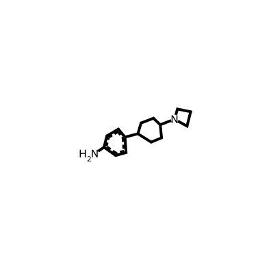 Nc1ccc(C2CCC(N3CCC3)CC2)cc1